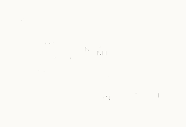 CCOC(=O)c1cc(-c2cc(C)on2)[nH]n1